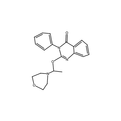 CC(Oc1nc2ccccc2c(=O)n1-c1ccccc1)N1CCOCC1